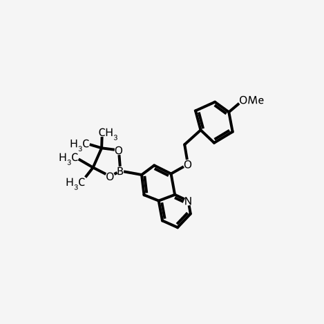 COc1ccc(COc2cc(B3OC(C)(C)C(C)(C)O3)cc3cccnc23)cc1